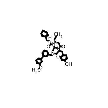 C=CCN1CC(=O)N2C(Cc3ccc(O)cc3)C(=O)N(Cc3cccc(-c4cccc(OC)c4)c3)CC2N1C(=O)NCc1ccccc1